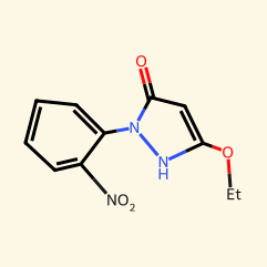 CCOc1cc(=O)n(-c2ccccc2[N+](=O)[O-])[nH]1